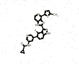 Cc1ccc(-c2nccc3[nH]c(-c4n[nH]c5ccc(-c6cncc(NC(=O)C7CC7)c6)c(F)c45)nc23)s1